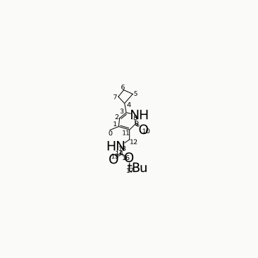 Cc1cc(C2CCC2)[nH]c(=O)c1CNC(=O)OC(C)(C)C